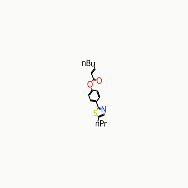 CCCCC=CC(=O)Oc1ccc(-c2ncc(CCC)s2)cc1